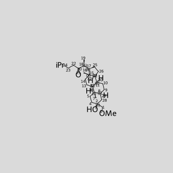 COC[C@]1(O)CC[C@@]2(C)[C@@H](CC[C@@H]3[C@@H]2CC[C@]2(C)[C@@H]([C@H](C)C(=O)CCC(C)C)CC[C@@H]32)C1